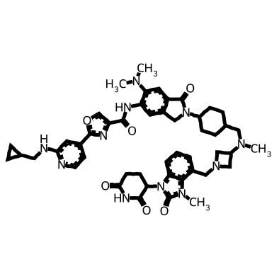 CN(C)c1cc2c(cc1NC(=O)c1coc(-c3ccnc(NCC4CC4)c3)n1)CN(C1CCC(CN(C)C3CN(Cc4cccc5c4n(C)c(=O)n5C4CCC(=O)NC4=O)C3)CC1)C2=O